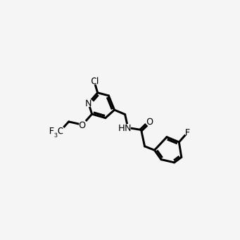 O=C(Cc1cccc(F)c1)NCc1cc(Cl)nc(OCC(F)(F)F)c1